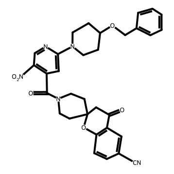 N#Cc1ccc2c(c1)C(=O)CC1(CCN(C(=O)c3cc(N4CCC(OCc5ccccc5)CC4)ncc3[N+](=O)[O-])CC1)O2